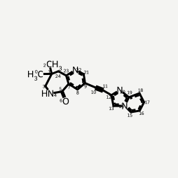 CC1(C)CNC(=O)c2cc(C#Cc3cn4ccccc4n3)cnc2C1